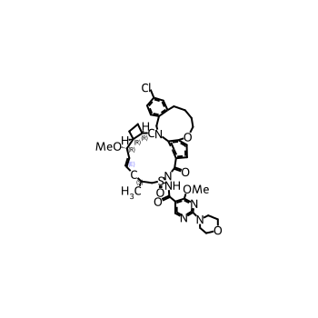 COc1nc(N2CCOCC2)ncc1C(=O)NS1(=O)=NC(=O)c2ccc3c(c2)N(Cc2ccc(Cl)cc2CCCCO3)C[C@@H]2CC[C@H]2[C@@H](OC)/C=C/C[C@H](C)C1